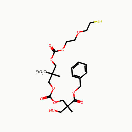 CCOC(=O)C(C)(COC(=O)OCCOCCS)COC(=O)OCC(C)(CO)C(=O)OCc1ccccc1